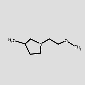 [CH2]C1CCN(CCOC)C1